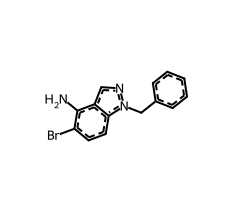 Nc1c(Br)ccc2c1cnn2Cc1ccccc1